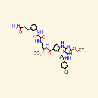 NC(=O)CCc1cccc(NC(=O)C(=O)NCC[C@H](NC(=O)c2ccc(Nc3nc(NC4(c5ccc(Cl)cc5)CC4)nc(OCC(F)(F)F)n3)cc2)C(=O)O)c1